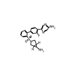 Nc1cnc(-c2ccc(-c3ccccc3S(=O)(=O)N3C[C@@H]4C(N)[C@@H]4C3)cc2F)cn1